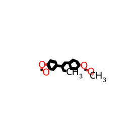 CCC(=Cc1ccc(OCOC)cc1)c1ccc2c(c1)OCO2